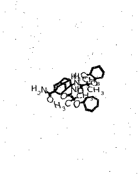 CC1CCCCC1OC(C)(C)C(=O)NC1(NC(=O)C(C)(C)OC2CCCCCC2)C2CC3CC1CC(C(N)=O)(C3)C2